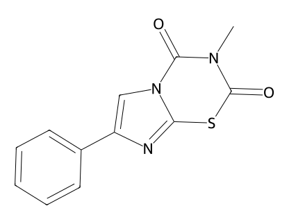 Cn1c(=O)sc2nc(-c3ccccc3)cn2c1=O